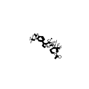 COc1nc(N[C@@H]2CCN(C(C)=O)CC2(F)F)nn2ccc(-c3ccc4nc(C)n(CC(F)(F)F)c4c3)c12